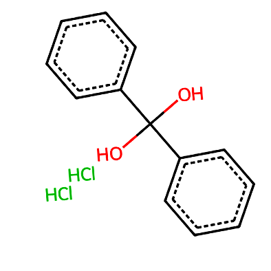 Cl.Cl.OC(O)(c1ccccc1)c1ccccc1